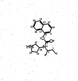 CCC(C)N(C(=O)Oc1cccc2ccccc12)C1CCNC1